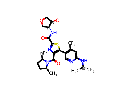 CCCC1CCC(C)N1C(=O)c1nc(C(=O)N[C@@H]2COC[C@H]2O)sc1-c1cnc(N[C@@H](C)C(F)(F)F)cc1C(F)(F)F